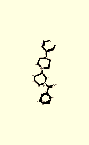 C/C=C\C(=C/C)N1CCN(C2CCCN(C(=O)c3ccccc3)C2)CC1